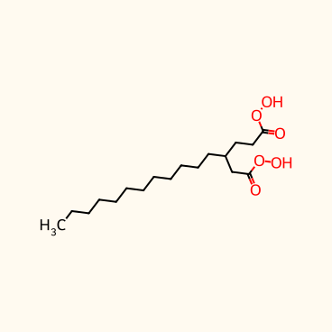 CCCCCCCCCCCCC(CCC(=O)OO)CC(=O)OO